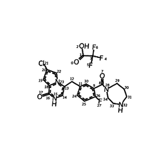 O=C(O)C(F)(F)F.O=C(c1cc(Cc2c[nH]c(=O)c3cc(Cl)cn23)ccc1F)N1CCCNCC1